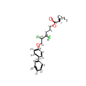 C=CC(=O)OCCCC(F)C(F)COc1ccc(-c2ccccc2)cc1